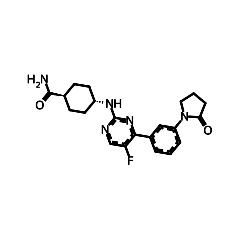 NC(=O)[C@H]1CC[C@H](Nc2ncc(F)c(-c3cccc(N4CCCC4=O)c3)n2)CC1